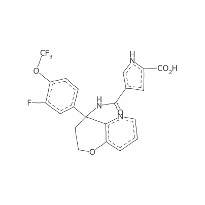 O=C(NC1(c2ccc(OC(F)(F)F)c(F)c2)CCOc2cccnc21)c1c[nH]c(C(=O)O)c1